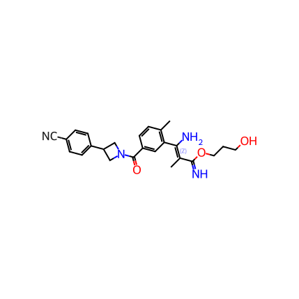 C/C(C(=N)OCCCO)=C(/N)c1cc(C(=O)N2CC(c3ccc(C#N)cc3)C2)ccc1C